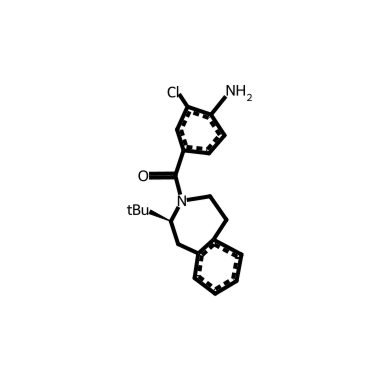 CC(C)(C)[C@@H]1Cc2ccccc2CCN1C(=O)c1ccc(N)c(Cl)c1